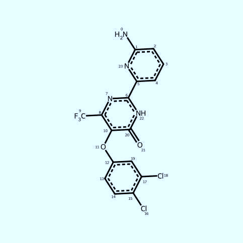 Nc1cccc(-c2nc(C(F)(F)F)c(Oc3ccc(Cl)c(Cl)c3)c(=O)[nH]2)n1